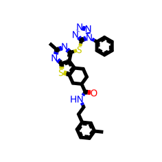 Cc1cccc(CCNC(=O)C2CCc3c(sc4nc(C)nc(Sc5nnnn5-c5ccccc5)c34)C2)c1